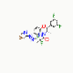 C[C@H](NC(=O)C(C)(F)F)[C@H](Oc1ccc2c(cnn2-c2cscn2)c1)c1cc(F)cc(F)c1